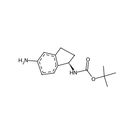 CC(C)(C)OC(=O)N[C@@H]1CCc2cc(N)ccc21